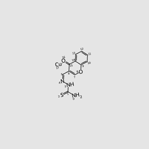 NC(=S)N/N=C\c1coc2ccccc2c1=O.[Cu]